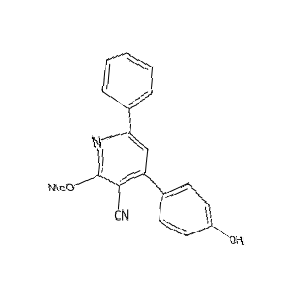 COc1nc(-c2ccccc2)cc(-c2ccc(O)cc2)c1C#N